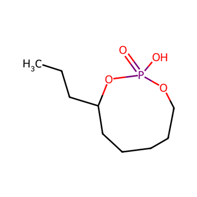 CCCC1CCCCCOP(=O)(O)O1